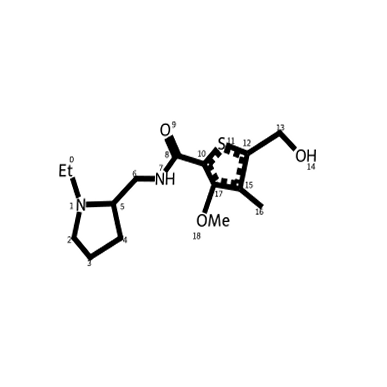 CCN1CCCC1CNC(=O)c1sc(CO)c(C)c1OC